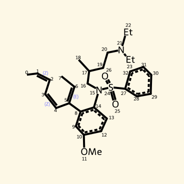 C\C=C/C=C\C(=C/C)c1cc(OC)ccc1N(CC(C)CCN(CC)CC)S(=O)(=O)c1ccccc1